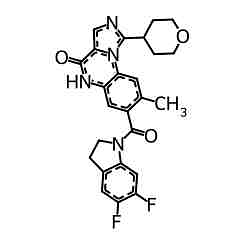 Cc1cc2c(cc1C(=O)N1CCc3cc(F)c(F)cc31)[nH]c(=O)c1cnc(C3CCOCC3)n12